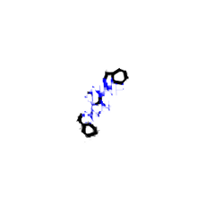 c1ccc2c(c1)ccn2Nc1ncnc2c1ncn2-n1ccc2ccccc21